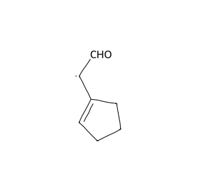 O=C[CH]C1=CCCC1